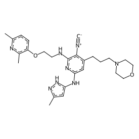 [C-]#[N+]c1c(CCCN2CCOCC2)cc(Nc2cc(C)n[nH]2)nc1NCCOc1ccc(C)nc1C